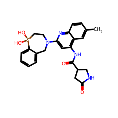 Cc1ccc2nc(N3CCS(O)(O)c4ccccc4C3)cc(NC(=O)C3CNC(=O)C3)c2c1